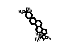 CC1(C)CCC2(CCC3C4=CCC5(C)C(CC[C@@]5(C)C(F)(F)C(F)(F)F)C4CCC3C2)CC1